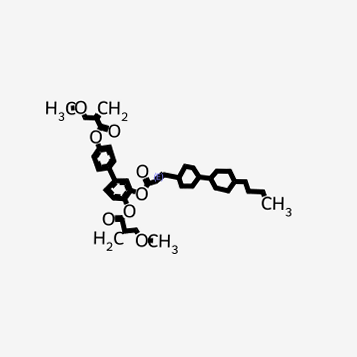 C=C(COC)C(=O)Oc1ccc(-c2ccc(OC(=O)C(=C)COC)c(OC(=O)/C=C/C3CCC(C4CCC(CCCC)CC4)CC3)c2)cc1